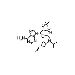 CC(C)N(C[C@H]1O[C@H](n2cnc3c(N)ncnc32)C2OC(C)(C)O[C@@H]21)[C@H]1C[C@@H](C=O)C1